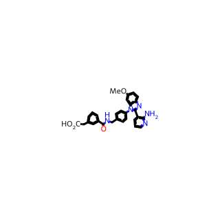 COc1ccc2nc(-c3cccnc3N)n(-c3ccc(CNC(=O)c4cccc(CC(=O)O)c4)cc3)c2c1